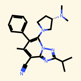 Cc1c(-c2ccccc2)c(N2CC[C@H](N(C)C)C2)n2nc(C(C)C)nc2c1C#N